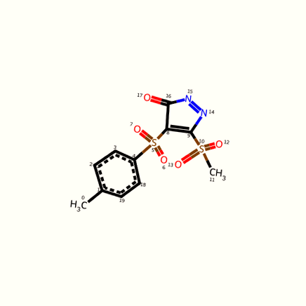 Cc1ccc(S(=O)(=O)C2=C(S(C)(=O)=O)N=NC2=O)cc1